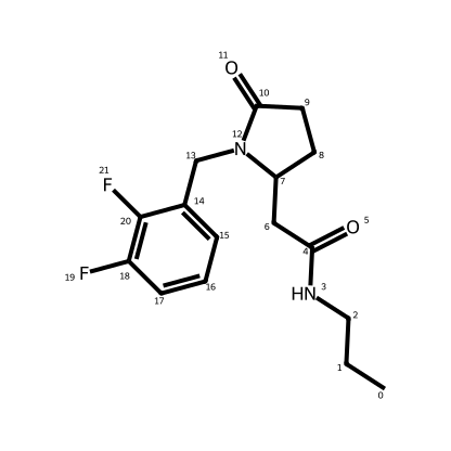 CCCNC(=O)CC1CCC(=O)N1Cc1cccc(F)c1F